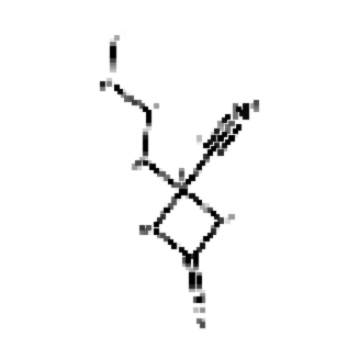 CCCCC1(C#N)CC(=O)C1